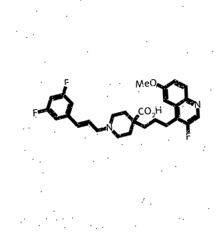 COc1ccc2ncc(F)c(CCCC3(C(=O)O)CCN(CC=Cc4cc(F)cc(F)c4)CC3)c2c1